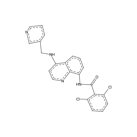 O=C(Nc1cccc2c(NCc3cccnc3)ccnc12)c1c(Cl)cccc1Cl